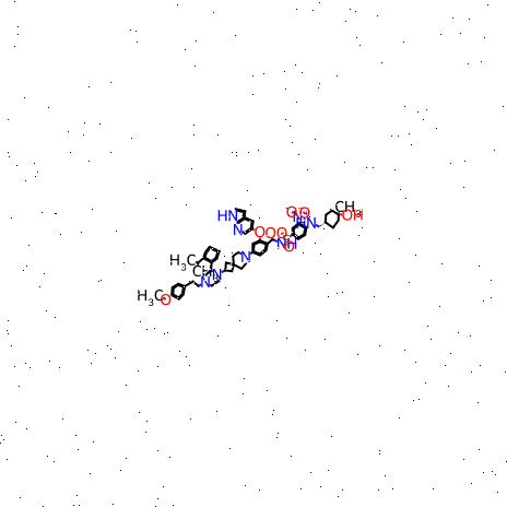 COc1ccc(CCN2CCN(C3CC4(CCN(c5ccc(C(=O)NS(=O)(=O)c6ccc(NC[C@H]7CC[C@](C)(O)CC7)c([N+](=O)[O-])c6)c(Oc6cnc7[nH]ccc7c6)c5)CC4)C3)C(c3ccccc3C(C)C)C2)cc1